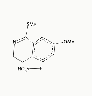 COc1ccc2c(c1)C(SC)=NCC2.O=S(=O)(O)F